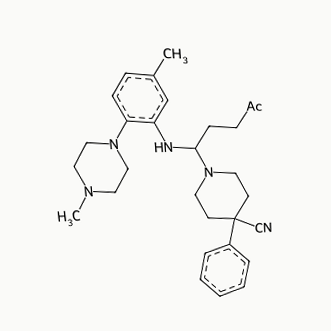 CC(=O)CCC(Nc1cc(C)ccc1N1CCN(C)CC1)N1CCC(C#N)(c2ccccc2)CC1